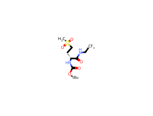 CC(C)(C)OC(=O)N[C@H](CCS(C)(=O)=O)C(=O)NCC(F)(F)F